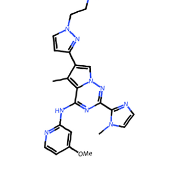 COc1ccnc(Nc2nc(-c3nccn3C)nn3cc(-c4ccn(CCN)n4)c(C)c23)c1